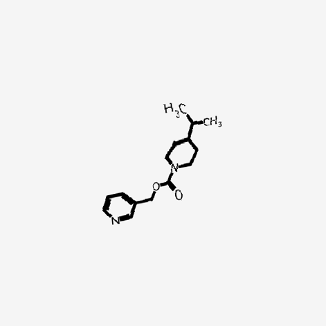 CC(C)C1CCN(C(=O)OCc2cccnc2)CC1